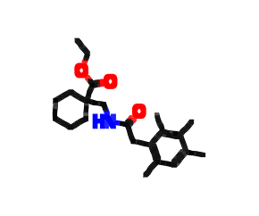 CCOC(=O)C1(CNC(=O)Cc2c(C)cc(C)c(C)c2C)CCCCC1